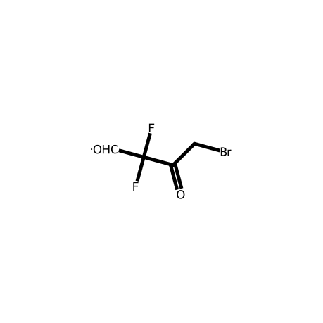 O=[C]C(F)(F)C(=O)CBr